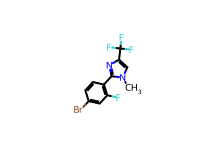 Cn1cc(C(F)(F)F)nc1-c1ccc(Br)cc1F